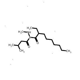 CCCCCCCC(CC)C(=O)N(NC)C(=O)CC(C)C